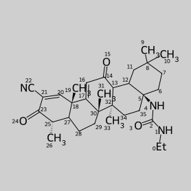 CCNC(=O)N[C@]12CCC(C)(C)CC1C1C(=O)C=C3[C@@]4(C)C=C(C#N)C(=O)[C@@H](C)C4CC[C@@]3(C)[C@]1(C)CC2